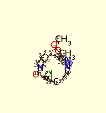 CCOC(=O)CC1c2ccc3c(c2)CN(CC3)C(=O)c2ccc(cc2Cl)CC/C=C\Cn2nnc3c(C)c1ccc32